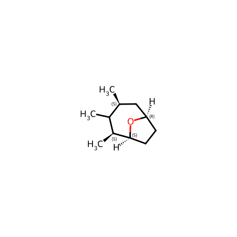 CC1[C@@H](C)C[C@H]2CC[C@H](O2)[C@H]1C